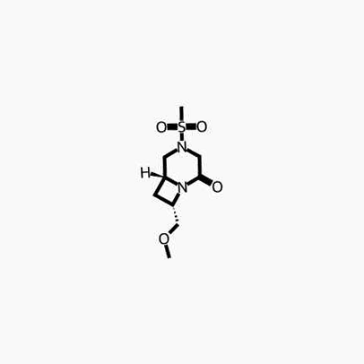 COC[C@@H]1C[C@@H]2CN(S(C)(=O)=O)CC(=O)N12